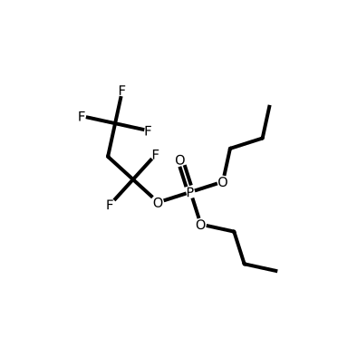 CCCOP(=O)(OCCC)OC(F)(F)CC(F)(F)F